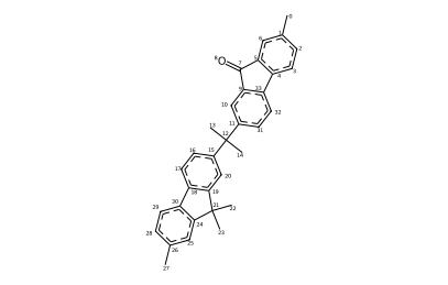 Cc1ccc2c(c1)C(=O)c1cc(C(C)(C)c3ccc4c(c3)C(C)(C)c3cc(C)ccc3-4)ccc1-2